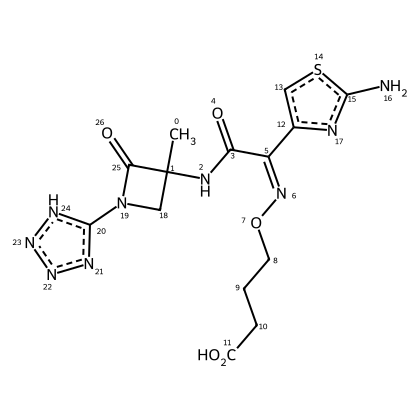 CC1(NC(=O)C(=NOCCCC(=O)O)c2csc(N)n2)CN(c2nnn[nH]2)C1=O